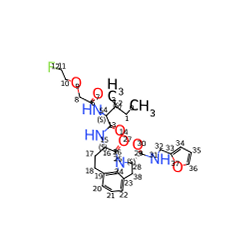 CC[C@H](C)[C@H](NC(=O)COCCF)C(=O)N[C@H]1CCc2cccc3c2N(C1=O)[C@H](C(=O)NCc1ccco1)C3